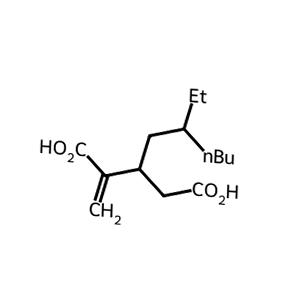 C=C(C(=O)O)C(CC(=O)O)CC(CC)CCCC